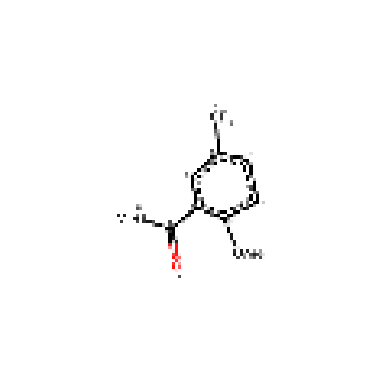 COC(=O)c1cc(C(F)(F)F)ccc1OC